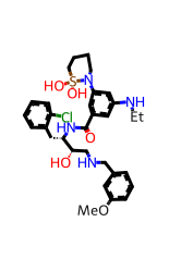 CCNc1cc(C(=O)N[C@@H](Cc2ccccc2Cl)[C@@H](O)CNCc2cccc(OC)c2)cc(N2CCCCS2(O)O)c1